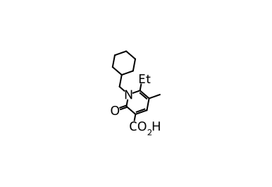 CCc1c(C)cc(C(=O)O)c(=O)n1CC1CCCCC1